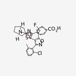 Cc1cccc(Cl)c1-c1noc(C2CC2)c1CO[C@H]1C[C@H]2CC[C@@H](C1)N2c1nc(-c2ccc(C(=O)O)cc2F)cs1